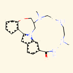 CN1CCNCCN(C)C2COc3ccccc3-c3cc4ccc(cc4n3C2)C(=O)NS1